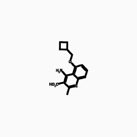 Cc1nc2cccc(OCC3CCC3)c2c(N)c1C(=O)O